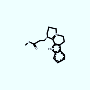 COC(=O)CC[C@H]1CCC[N+]2=C1c1[nH]c3ccccc3c1CC2